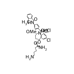 COc1cc(NC(=O)c2ccccc2C)ccc1C(=O)N1CCCC(OC(=O)[C@@H](N)CCCCN)c2cc(Cl)ccc21.Cl.Cl